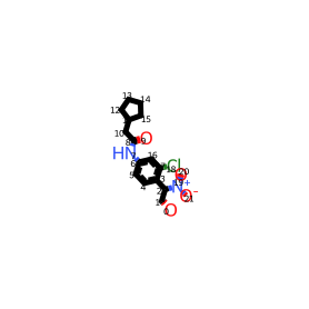 O=CC(c1ccc(NC(=O)CC2CCCC2)cc1Cl)[N+](=O)[O-]